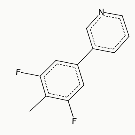 Cc1c(F)cc(-c2cccnc2)cc1F